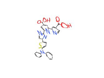 O=C(O)c1ccnc(-c2cc(C(=O)O)cc(-c3nccc(-c4ccc(N(c5ccccc5)c5ccccc5)s4)n3)n2)c1